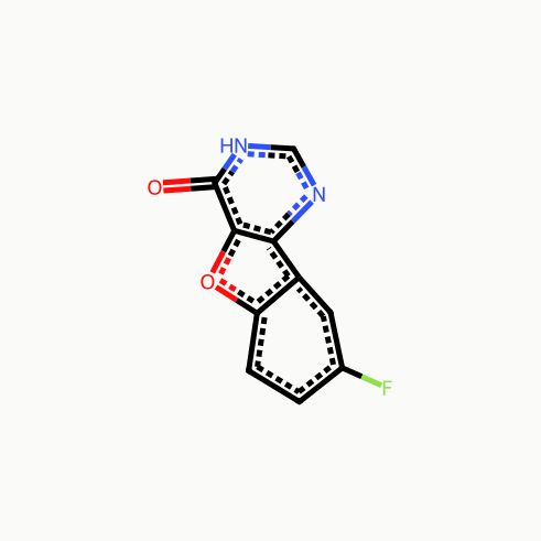 O=c1[nH]cnc2c1oc1ccc(F)cc12